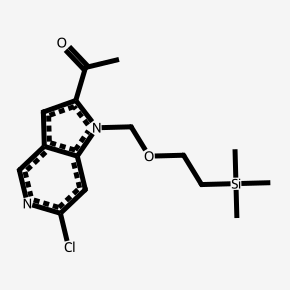 CC(=O)c1cc2cnc(Cl)cc2n1COCC[Si](C)(C)C